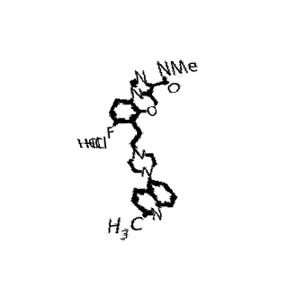 CNC(=O)c1ncn2c1COc1c-2ccc(F)c1CCN1CCN(c2cccc3nc(C)ccc23)CC1.Cl.Cl